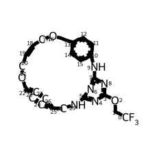 FC(F)(F)COc1nc2nc(n1)Nc1ccc(cc1)OCC=CCOc1ccc(cc1)CN2